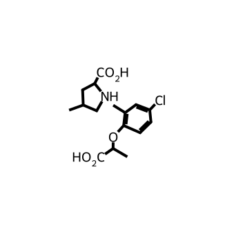 CC1CNC(C(=O)O)C1.Cc1cc(Cl)ccc1OC(C)C(=O)O